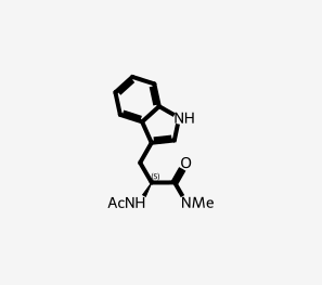 CNC(=O)[C@H](Cc1c[nH]c2ccccc12)NC(C)=O